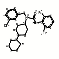 CC(C)c1cccc(C(C)C)c1NC(=O)N(Cc1cccc(Cl)c1)C1CCC(C2CCCCC2)CC1